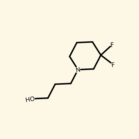 OCCCN1CCCC(F)(F)C1